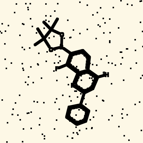 [2H]c1cc(-c2ccccc2)nc2c(F)c(B3OC(C)(C)C(C)(C)O3)ccc12